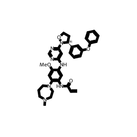 C=CC(=O)Nc1cc(Nc2cc(N3OCC[C@@H]3c3cccc(Oc4ccccc4)c3)ncn2)c(OC)cc1N1CCCN(C)CC1